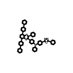 c1ccc(-c2ccc(-c3ccc(-c4ccc(-c5ccccc5)cc4)c4nc(-c5ccc(N(c6ccccc6)c6ccc(-c7nnc(-c8ccccc8)o7)cc6)cc5)c(-c5ccccc5)nc34)cc2)cc1